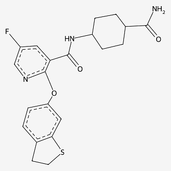 NC(=O)C1CCC(NC(=O)c2cc(F)cnc2Oc2ccc3c(c2)SCC3)CC1